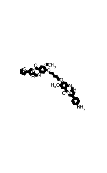 COc1cc2c(cc1OCCCCCOc1cc3c(cc1C)C(=O)N1C=C(c4ccc(N)cc4)C[C@H]1C=N3)N=C[C@@H]1CC(c3cccs3)=CN1C2=O